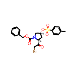 Cc1ccc(S(=O)(=O)O[C@@H]2C[C@@H](C(=O)CBr)N(C(=O)OCc3ccccc3)C2)cc1